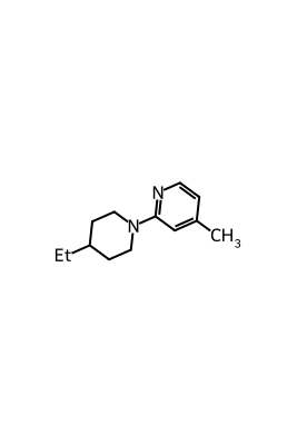 [CH2]CC1CCN(c2cc(C)ccn2)CC1